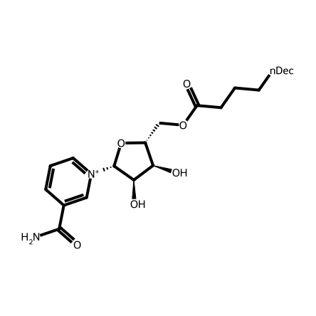 CCCCCCCCCCCCCC(=O)OC[C@H]1O[C@@H]([n+]2cccc(C(N)=O)c2)[C@H](O)[C@@H]1O